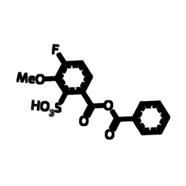 COc1c(F)ccc(C(=O)OC(=O)c2ccccc2)c1S(=O)(=O)O